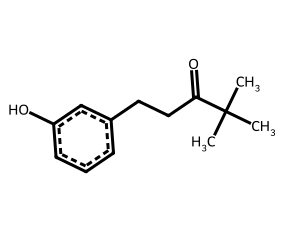 CC(C)(C)C(=O)CCc1cccc(O)c1